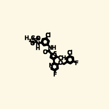 Cc1sc(C(=O)Nc2cc(Cl)cc(NS(C)(=O)=O)c2)cc1-c1ncc(F)cc1OCc1cc(F)cc(Cl)c1